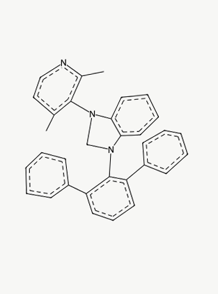 Cc1ccnc(C)c1N1CN(c2c(-c3ccccc3)cccc2-c2ccccc2)c2ccccc21